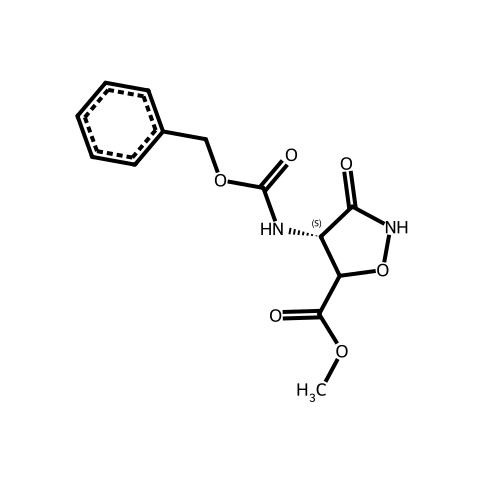 COC(=O)C1ONC(=O)[C@H]1NC(=O)OCc1ccccc1